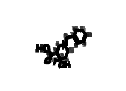 O=C(O)[C@H]1CN(Cc2ccccc2)CC[C@]1(O)I